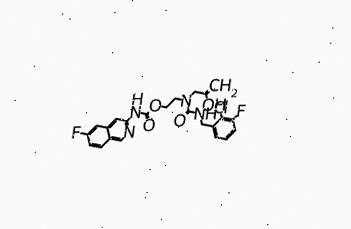 C=C(O)CN(CCOC(=O)Nc1cc2cc(F)ccc2cn1)C(=O)NCc1cccc(F)c1Cl